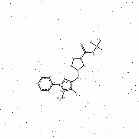 Cc1c(OC2CCN(C(=O)OC(C)(C)C)C2)nn(-c2ccccc2)c1N